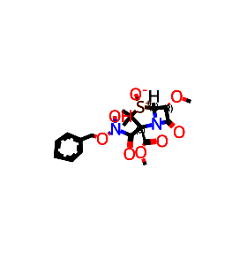 COC(=O)[C@]1(C(=O)N(O)OCc2ccccc2)N2C(=O)[C@@H](OC)[C@H]2[S+]([O-])C1(C)C